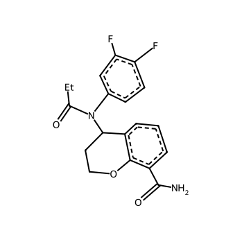 CCC(=O)N(c1ccc(F)c(F)c1)C1CCOc2c(C(N)=O)cccc21